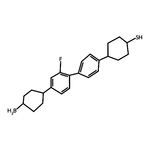 BC1CCC(c2ccc(-c3ccc(C4CCC(S)CC4)cc3)c(F)c2)CC1